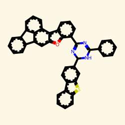 c1ccc(C2=NC(c3cccc4c3oc3cc5c6c(cccc6c34)-c3ccccc3-5)=NC(c3ccc4c(c3)sc3ccccc34)N2)cc1